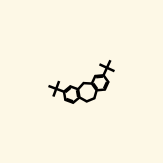 CC(C)(C)c1ccc2c(c1)Cc1cc(C(C)(C)C)ccc1CC2